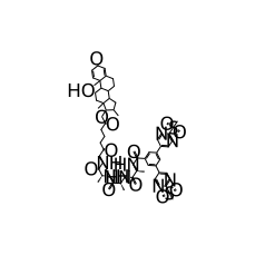 CC1CC2C3CCC4=CC(=O)C=CC4(C)C3C(O)CC2(C)C1OC(=O)CCCC(=O)CNC(=O)[C@H](C)NC(=O)[C@H](C)NC(=O)[C@H](C)NC(=O)c1cc(-c2cnc(S(C)(=O)=O)nc2)cc(-c2cnc(S(C)(=O)=O)nc2)c1